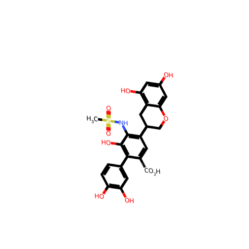 CS(=O)(=O)Nc1c(C2COc3cc(O)cc(O)c3C2)cc(C(=O)O)c(-c2ccc(O)c(O)c2)c1O